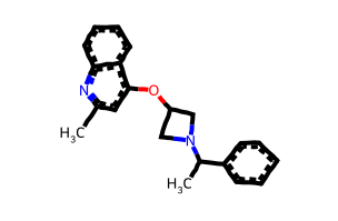 Cc1cc(OC2CN(C(C)c3ccccc3)C2)c2ccccc2n1